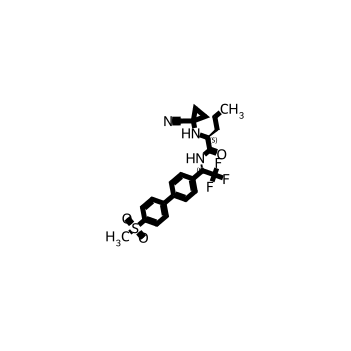 CCC[C@H](NC1(C#N)CC1)C(=O)N[C@@H](c1ccc(-c2ccc(S(C)(=O)=O)cc2)cc1)C(F)(F)F